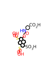 O=C(COc1cc(SOOO)c2ccc3c(SOOO)cc(S(=O)(=O)O)c4ccc1c2c34)NC1CCC(C(=O)O)CC1